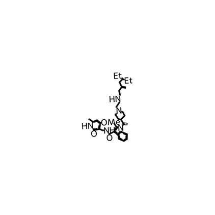 C=C(CCNCCN1CCC([C@@H](C)n2c(C)c(C(=O)NCc3c(OC)cc(C)[nH]c3=O)c3ccccc32)CC1)CC(CC)CC